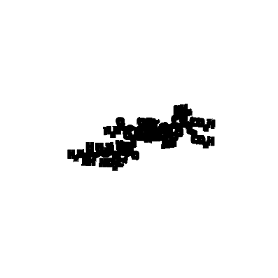 CC[C@H](C)[C@H](NC(=O)[C@@H](NC(=O)[C@H](CCC(N)=O)NC(=O)CNC(=O)[C@H](CC(=O)O)NC(=O)[C@@H](N)CCCNC(=N)N)C(C)C)C(=O)N[C@@H](CC(N)=O)C(=O)N[C@@H](CCC(=O)O)C(=O)O